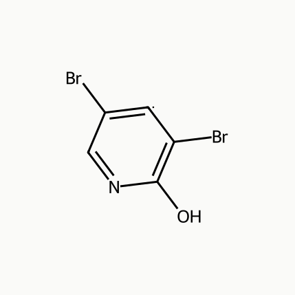 Oc1ncc(Br)[c]c1Br